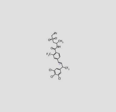 CC(C)CS(=O)(=O)CC(C)NC(=O)c1ccc(/C=C/C(c2cc(Cl)c(Cl)c(Cl)c2)C(F)(F)F)cc1C(F)(F)F